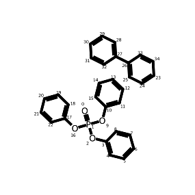 O=P(Oc1ccccc1)(Oc1ccccc1)Oc1ccccc1.c1ccc(-c2ccccc2)cc1